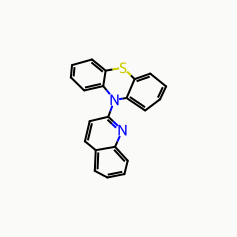 c1ccc2c(c1)Sc1ccccc1N2c1ccc2ccccc2n1